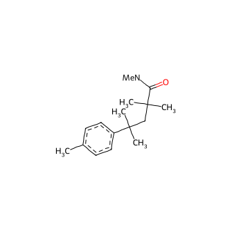 CNC(=O)C(C)(C)CC(C)(C)c1ccc(C)cc1